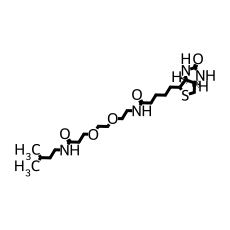 CC(C)CCNC(=O)CCOCCOCCNC(=O)CCCCC1SC[C@@H]2NC(=O)N[C@H]12